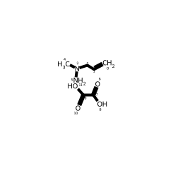 C=CCN(C)N.O=C(O)C(=O)O